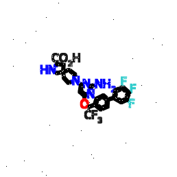 Nc1nc(O[C@H](c2ccc(-c3cc(F)c(F)c(F)c3)cc2)C(F)(F)F)cc(N2CCC3(CC2)CN[C@H](C(=O)O)C3)n1